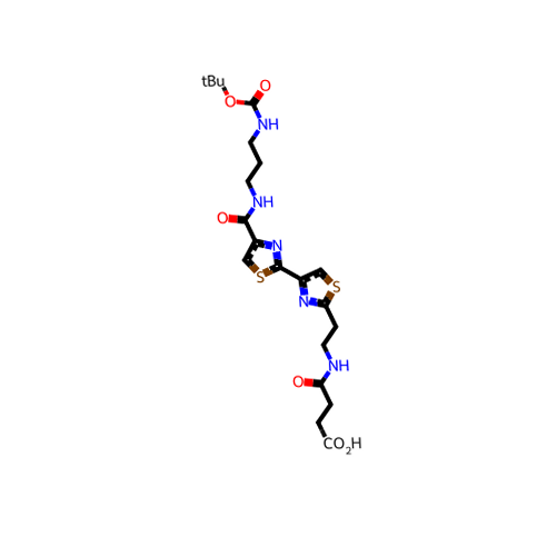 CC(C)(C)OC(=O)NCCCNC(=O)c1csc(-c2csc(CCNC(=O)CCC(=O)O)n2)n1